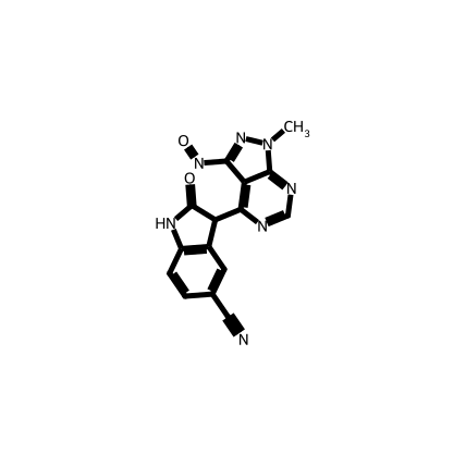 Cn1nc(N=O)c2c(C3C(=O)Nc4ccc(C#N)cc43)ncnc21